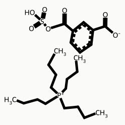 CCCC[P+](CCCC)(CCCC)CCCC.O=C([O-])c1cccc(C(=O)OS(=O)(=O)O)c1